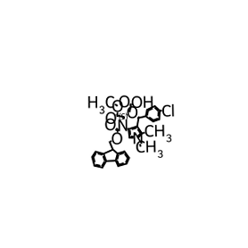 COC(=O)[C@H](CC(=O)O)N(C(=O)OCC1c2ccccc2-c2ccccc21)c1cn(C)c(C)c1C(=O)c1ccc(Cl)cc1